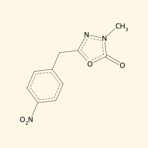 Cn1nc(Cc2ccc([N+](=O)[O-])cc2)oc1=O